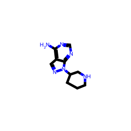 Nc1ncnc2c1cnn2C1CCCNC1